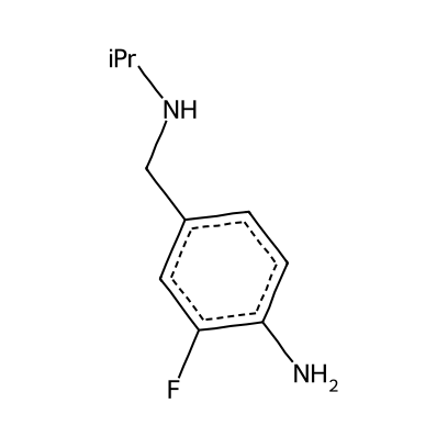 CC(C)NCc1ccc(N)c(F)c1